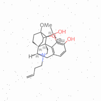 C=CCCN1CC[C@]23c4c5ccc(O)c4OC2C2(OC)CC[C@]3(CC2[C@](C)(O)C(C)(C)C)[C@H]1C5